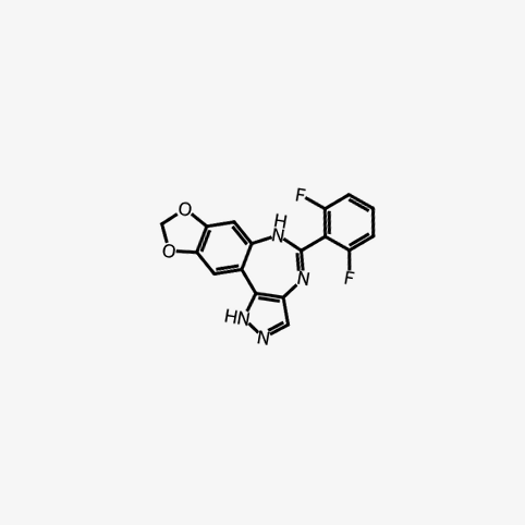 Fc1cccc(F)c1C1=Nc2cn[nH]c2-c2cc3c(cc2N1)OCO3